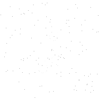 Fc1cc(Br)ccc1CNc1ncnc2c1oc1ccccc12